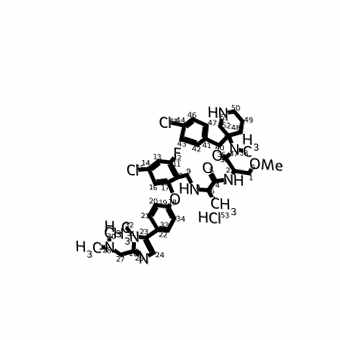 COCC(NC(=O)C(C)NCc1c(F)cc(Cl)cc1Oc1ccc(-c2cnc(CN(C)C)n2C)cc1)C(=O)N(C)C1(Cc2ccc(Cl)cc2)CCCNC1.Cl